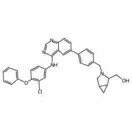 OCC1C2CC2CN1Cc1ccc(-c2ccc3ncnc(Nc4ccc(Oc5ccccc5)c(Cl)c4)c3c2)cc1